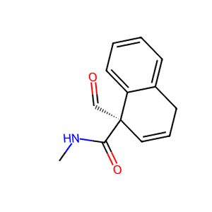 CNC(=O)[C@]1(C=O)C=CCc2ccccc21